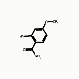 CC(C)c1cc(OC(F)(F)F)ccc1C(N)=O